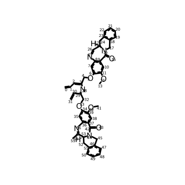 C=C/C=C(COc1cc2c(cc1OC)C(=O)N1Cc3ccccc3C[C@H]1C=N2)\N=C(/C=C)COc1cc2c(cc1OC)C(=O)N1Cc3ccccc3C[C@H]1C(C)=N2